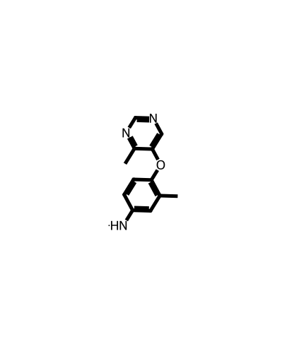 Cc1cc([NH])ccc1Oc1cncnc1C